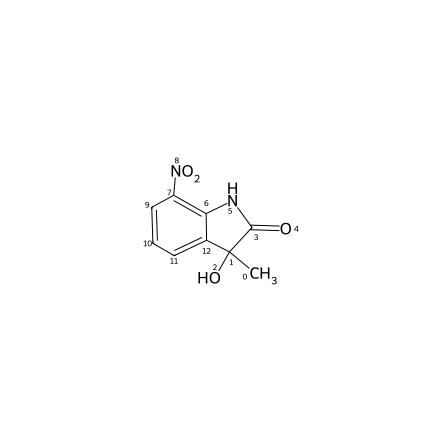 CC1(O)C(=O)Nc2c([N+](=O)[O-])cccc21